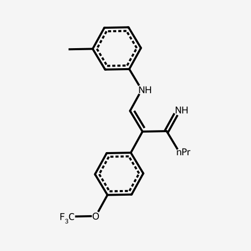 CCCC(=N)/C(=C\Nc1cccc(C)c1)c1ccc(OC(F)(F)F)cc1